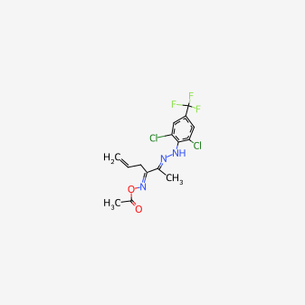 C=CCC(=N\OC(C)=O)/C(C)=N/Nc1c(Cl)cc(C(F)(F)F)cc1Cl